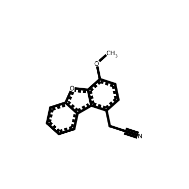 COc1ccc(CC#N)c2c1oc1ccccc12